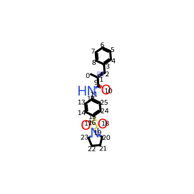 C/C(=C\c1ccccc1)C(=O)Nc1ccc(S(=O)(=O)N2CCCC2)cc1